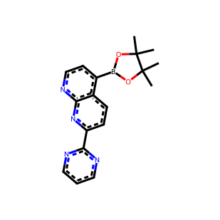 CC1(C)OB(c2ccnc3nc(-c4ncccn4)ccc23)OC1(C)C